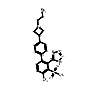 CS(=O)(=O)c1c(C(F)(F)F)ccc(-c2ccc(C3CN(CCN)C3)cc2)c1-c1nnn[nH]1